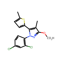 Cc1ccc(-c2c(C)c(OC(=O)O)nn2-c2ccc(Cl)cc2Cl)s1